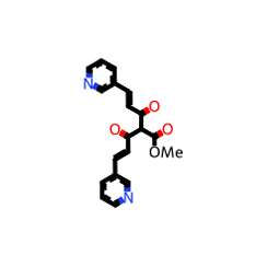 COC(=O)C(C(=O)/C=C/c1cccnc1)C(=O)/C=C/c1cccnc1